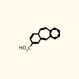 O=C(O)C1=CC2=Cc3ccccc3C=CC2C=C1